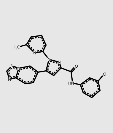 Cc1cccc(-n2nc(C(=O)Nc3cccc(Cl)c3)cc2-c2ccc3ncnn3c2)n1